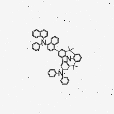 CC1(C)C2=c3c(c4cc(-c5ccc(N(c6ccccc6)c6cccc7ccccc67)c6ccccc56)cc5c4n3-c3c1cccc3C5(C)C)=CC(N(c1ccccc1)c1ccccc1)C2